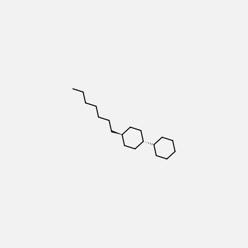 CCCCCCC[C@H]1CC[C@H](C2CCCCC2)CC1